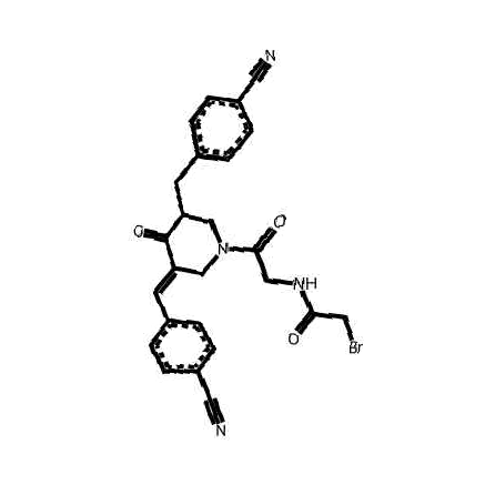 N#Cc1ccc(/C=C2\CN(C(=O)CNC(=O)CBr)CC(Cc3ccc(C#N)cc3)C2=O)cc1